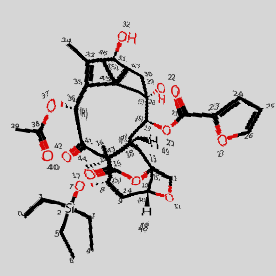 CC[Si](CC)(CC)O[C@H]1C[C@H]2OC[C@@]2(OC(C)=O)[C@H]2[C@H](OC(=O)c3ccco3)[C@]3(O)C[C@H](O)C(C)=C([C@@H](OC(C)=O)C(=O)[C@]12C)C3(C)C